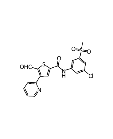 CS(=O)(=O)c1cc(Cl)cc(NC(=O)c2cc(-c3ccccn3)c(C=O)s2)c1